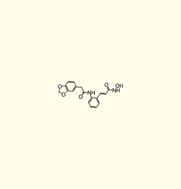 O=C(C=Cc1ccccc1NC(=O)Cc1ccc2c(c1)OCO2)NO